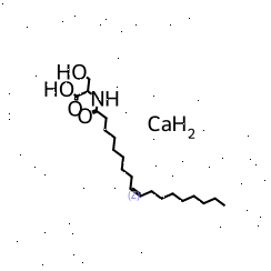 CCCCCCCC/C=C\CCCCCCCC(=O)NC(CO)C(=O)O.[CaH2]